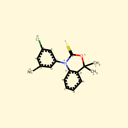 CC1(C)OC(=S)N(c2cc(Cl)cc(C#N)c2)c2ccccc21